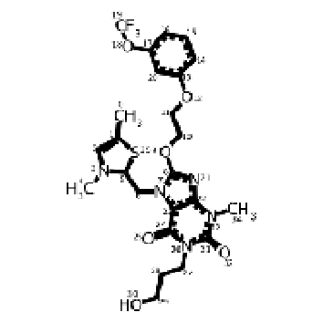 CC1=CN(C)C(Cn2c(OCCOc3cccc(OC(F)(F)F)c3)nc3c2c(=O)n(CCCO)c(=O)n3C)S1